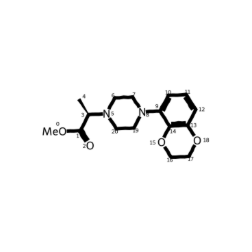 COC(=O)[C@@H](C)N1CCN(c2cccc3c2OCCO3)CC1